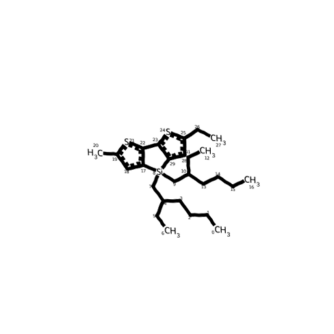 CCCCC(CC)C[Si]1(CC(CC)CCCC)c2cc(C)sc2-c2sc(CC)cc21